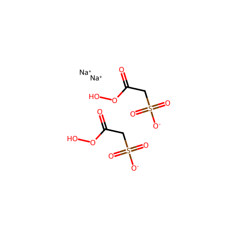 O=C(CS(=O)(=O)[O-])OO.O=C(CS(=O)(=O)[O-])OO.[Na+].[Na+]